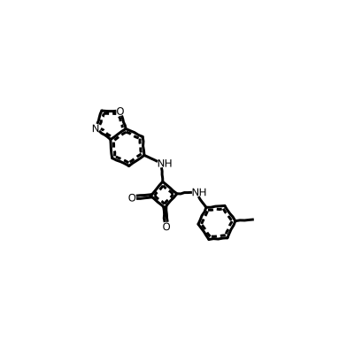 Cc1cccc(Nc2c(Nc3ccc4ncoc4c3)c(=O)c2=O)c1